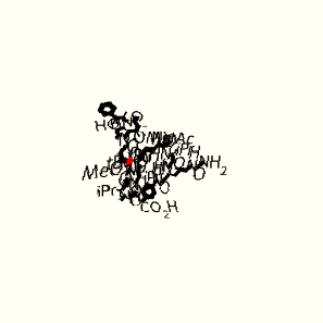 CC[C@H](C)[C@@H]([C@@H](CC(=O)N1CCC[C@H]1[C@H](OC)[C@@H](C)C(=O)N[C@H](C)[C@@H](O)c1ccccc1)OC)N(C)C(=O)[C@@H](NC(=O)[C@H](C(C)C)N(C)C(=O)OC(C(=O)O)c1ccc(NC(=O)[C@H](CCCNC(N)=O)NC(=O)[C@@H](NC(=O)[C@H](CCC(=O)OC(C)(C)C)NC(C)=O)C(C)C)cc1)C(C)C